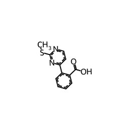 CSc1nccc(-c2ccccc2C(=O)O)n1